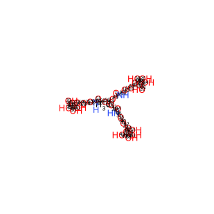 CC(COCCC(=O)NCCOCCOCCOC1OC(CO)C(O)[C@@H](O)[C@H]1O)(COCCC(=O)NCCOCCOCCO[C@H]1OC(CO)[C@@H](O)C(O)C1O)COCCC(=O)NCCOCCOCCO[C@H]1O[C@H](CO)[C@@H](O)C(O)C1O